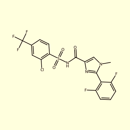 Cn1cc(C(=O)NS(=O)(=O)c2ccc(C(F)(F)F)cc2Cl)nc1-c1c(F)cccc1F